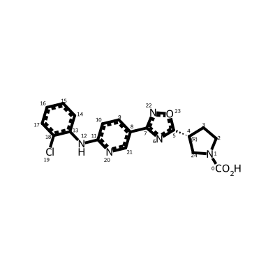 O=C(O)N1CC[C@@H](c2nc(-c3ccc(Nc4ccccc4Cl)nc3)no2)C1